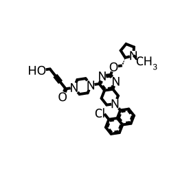 CN1CCC[C@H]1COc1nc2c(c(N3CCN(C(=O)C#CCO)CC3)n1)CCN(c1cccc3cccc(Cl)c13)C2